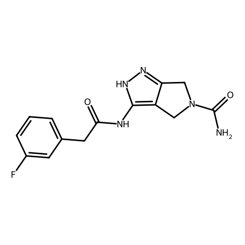 NC(=O)N1Cc2n[nH]c(NC(=O)Cc3cccc(F)c3)c2C1